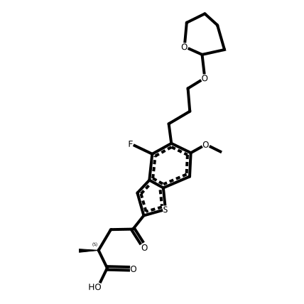 COc1cc2sc(C(=O)C[C@H](C)C(=O)O)cc2c(F)c1CCCOC1CCCCO1